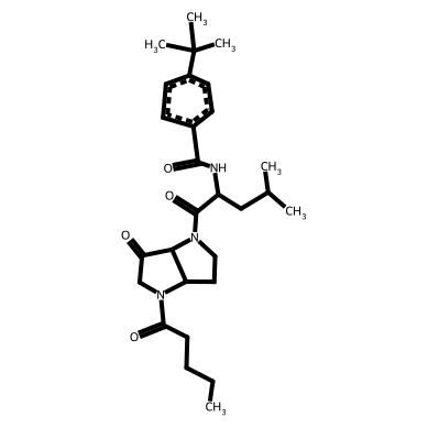 CCCCC(=O)N1CC(=O)C2C1CCN2C(=O)C(CC(C)C)NC(=O)c1ccc(C(C)(C)C)cc1